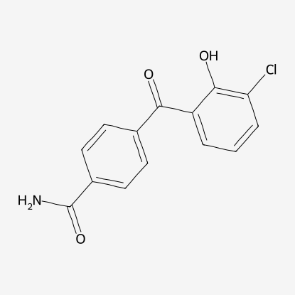 NC(=O)c1ccc(C(=O)c2cccc(Cl)c2O)cc1